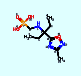 CCC(CC)(NCP(=O)(O)O)c1nc(C)no1